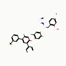 C=C/C(=C\C)c1cc(-c2cccc(C(F)(F)F)c2)c(Cl)cc1Oc1cc(F)c(S(=O)(=O)N(Cc2ccc(OC)cc2OC)c2nncs2)cc1Cl